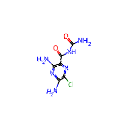 NC(=O)NC(=O)c1nc(Cl)c(N)nc1N